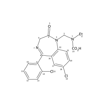 CCN(CN1C(=O)CN=C(c2ccccc2Cl)c2cc(Cl)ccc21)C(=O)O